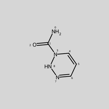 NC(=O)N1C=CC=NN1